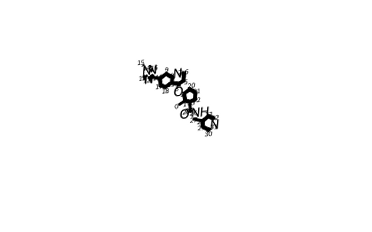 Cc1c(Oc2ccnc3cc(-c4ncn(C)n4)ccc23)cccc1C(=O)NCc1ccncc1